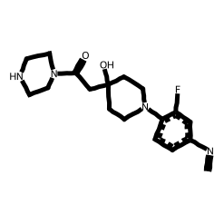 C=Nc1ccc(N2CCC(O)(CC(=O)N3CCNCC3)CC2)c(F)c1